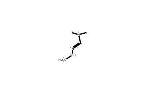 CN(C)/C=N/NC(=O)O